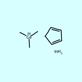 [CH3][GeH]([CH3])[CH3].[CH]1C=CC=C1.[InH3]